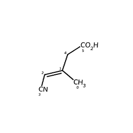 C/C(=C\C#N)CC(=O)O